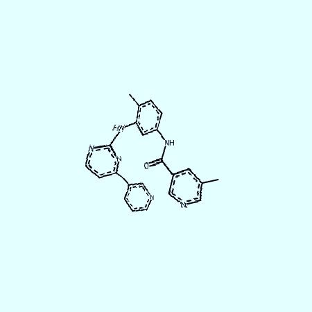 Cc1cncc(C(=O)Nc2ccc(C)c(Nc3nccc(-c4cccnc4)n3)c2)c1